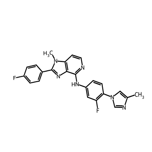 Cc1cn(-c2ccc(Nc3nccc4c3nc(-c3ccc(F)cc3)n4C)cc2F)cn1